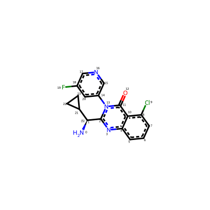 N[C@H](c1nc2cccc(Cl)c2c(=O)n1-c1cncc(F)c1)C1CC1